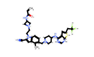 C=CC(=O)NC1CN(CCn2c(C#N)cc3c(C)c(CN4CCC(Nc5ncnc6sc(CC(F)(F)F)cc56)CC4)ccc32)C1